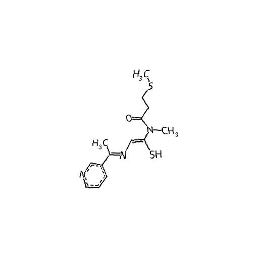 CSCCC(=O)N(C)/C(S)=C/N=C(\C)c1cccnc1